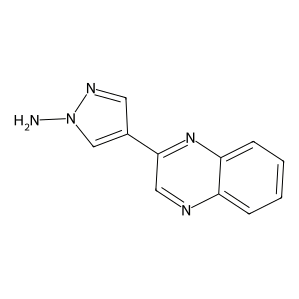 Nn1cc(-c2cnc3ccccc3n2)cn1